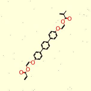 C=CC(=O)O/C=C\Oc1ccc(-c2ccc(-c3ccc(O/C=C\OC(=O)C(=C)C)cc3)cc2)cc1